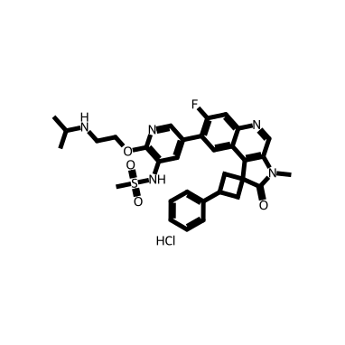 CC(C)NCCOc1ncc(-c2cc3c4c(cnc3cc2F)N(C)C(=O)C42CC(c3ccccc3)C2)cc1NS(C)(=O)=O.Cl